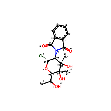 CC(=O)C(O)[C@H]1O[C@H](Cl)[C@@H](N2C(=O)c3ccccc3C2=O)[C@](O)(C(C)=O)[C@@]1(O)C(C)=O